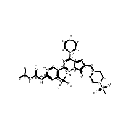 Cc1c(CN2CCN(S(C)(=O)=O)CC2)cc2c(N3CCOCC3)nc(-c3cnc(NC(=O)NC(C)C)cc3C(F)(F)F)nn12